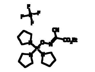 CCOC(=O)C(C#N)=NO[P+](N1CCCC1)(N1CCCC1)N1CCCC1.F[B-](F)(F)F